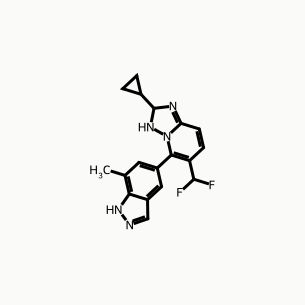 Cc1cc(C2=C(C(F)F)C=CC3=NC(C4CC4)NN32)cc2cn[nH]c12